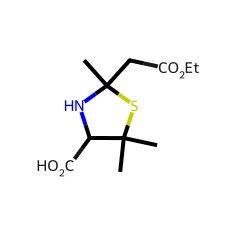 CCOC(=O)CC1(C)NC(C(=O)O)C(C)(C)S1